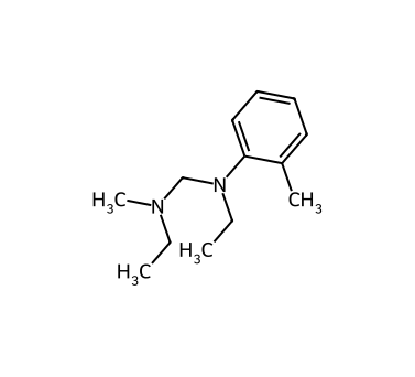 CCN(C)CN(CC)c1ccccc1C